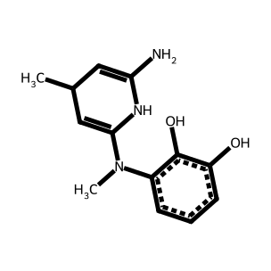 CC1C=C(N)NC(N(C)c2cccc(O)c2O)=C1